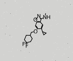 CNc1noc2cc(OCC3CCC(F)(F)CC3)c(C3CC3)cc12